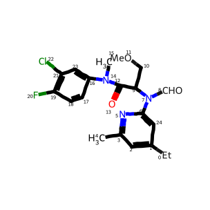 CCc1cc(C)nc(N(C=O)C(COC)C(=O)N(C)c2ccc(F)c(Cl)c2)c1